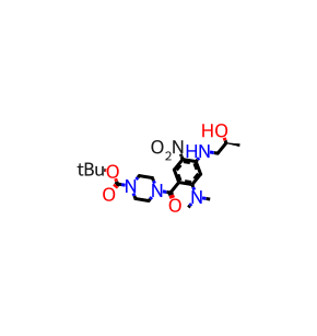 C[C@H](O)CNc1cc(N(C)C)c(C(=O)N2CCN(C(=O)OC(C)(C)C)CC2)cc1[N+](=O)[O-]